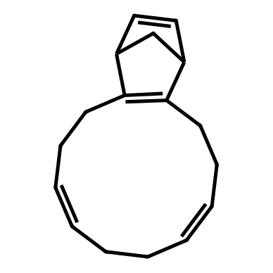 C1=CCCC2=C(CCC=CCC1)C1C=CC2C1